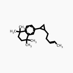 C/C=C/CCC1CC1c1ccc2c(c1)C(C)(C)CCC2(C)C